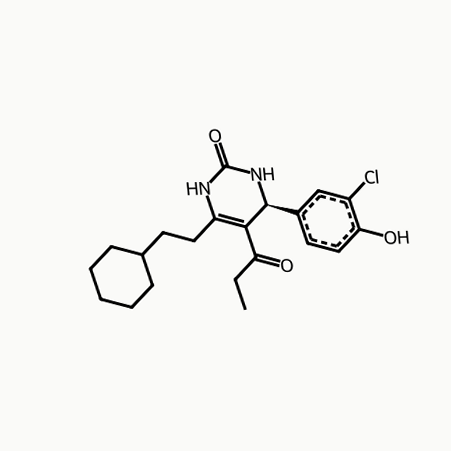 CCC(=O)C1=C(CCC2CCCCC2)NC(=O)N[C@H]1c1ccc(O)c(Cl)c1